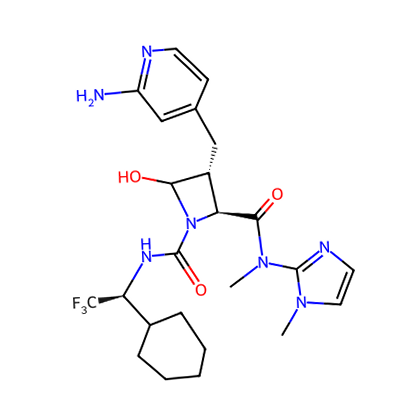 CN(C(=O)[C@@H]1[C@@H](Cc2ccnc(N)c2)C(O)N1C(=O)N[C@@H](C1CCCCC1)C(F)(F)F)c1nccn1C